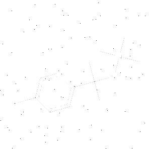 CC(C)(O[Si](C)(C)C)c1ccc(Br)cn1